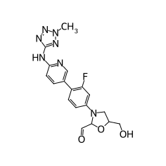 Cn1nnc(Nc2ccc(-c3ccc(N4CC(CO)OC4C=O)cc3F)cn2)n1